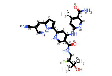 Cc1cc(Nc2cc(-c3ccc4cc(C#N)cnn34)ncc2C(=O)NCC(F)C(C)(C)O)ncc1C(N)=O